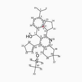 CC(C)c1ccc(C(O)c2c(C3CCCC3)nc3c(c2C2=CCCC2)[C@@H](O[Si](C)(C)C(C)(C)C)CC(C)(C)C3)cc1